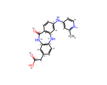 Cc1cc(Nc2ccc3c(c2)Nc2ccc(CC(=O)O)cc2NC3=O)ccn1